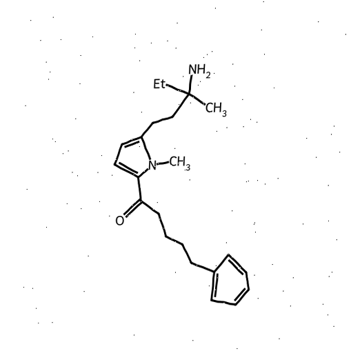 CCC(C)(N)CCc1ccc(C(=O)CCCCc2ccccc2)n1C